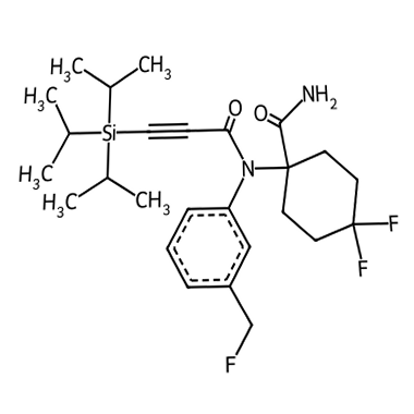 CC(C)[Si](C#CC(=O)N(c1cccc(CF)c1)C1(C(N)=O)CCC(F)(F)CC1)(C(C)C)C(C)C